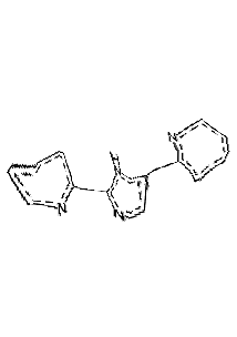 c1ccc(-c2cnc(-c3ccccn3)[nH]2)nc1